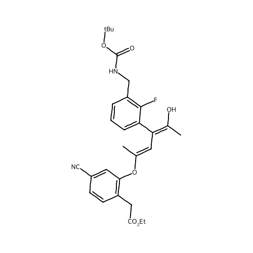 CCOC(=O)Cc1ccc(C#N)cc1O/C(C)=C/C(=C(\C)O)c1cccc(CNC(=O)OC(C)(C)C)c1F